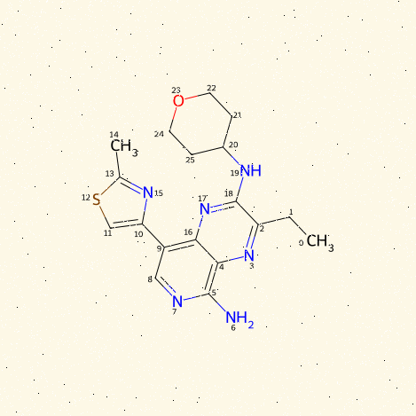 CCc1nc2c(N)ncc(-c3csc(C)n3)c2nc1NC1CCOCC1